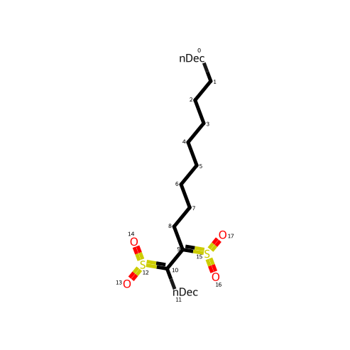 CCCCCCCCCCCCCCCCCCC(C(CCCCCCCCCC)=S(=O)=O)=S(=O)=O